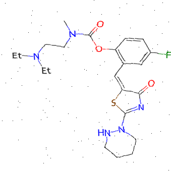 CCN(CC)CCN(C)C(=O)Oc1ccc(F)cc1/C=C1/SC(N2CCCCN2)=NC1=O